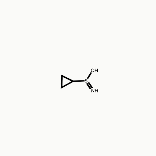 N=S(O)C1CC1